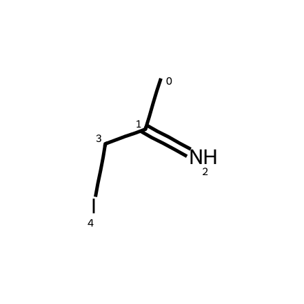 CC(=N)CI